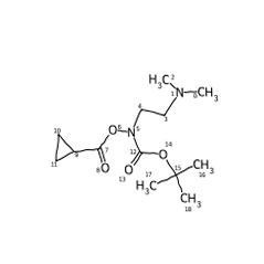 CN(C)CCN(OC(=O)C1CC1)C(=O)OC(C)(C)C